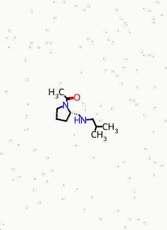 CC(=O)N1CCC[C@H]1CNCC(C)C